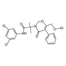 CCOCC1=C(c2ccccc2)C(=O)N(C(C)(C)C(=O)Nc2cc(Cl)cc(Cl)c2)CO1